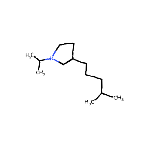 CC(C)CCCC1CCN(C(C)C)C1